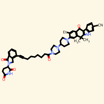 CCc1cc2c(cc1N1CCC(N3CCN(C(=O)CCCCCCC#Cc4cccc5c4CN(C4CCC(=O)NC4=O)C5=O)CC3)CC1)C(C)(C)c1[nH]c3cc(C#N)ccc3c1C2=O